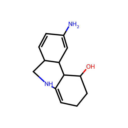 NC1=CC2C(C=C1)CNC1=CCCC(O)C12